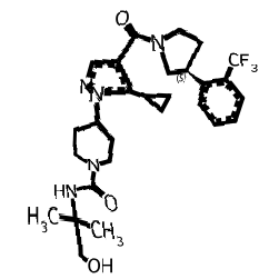 CC(C)(CO)NC(=O)N1CCC(n2ncc(C(=O)N3CC[C@@H](c4ccccc4C(F)(F)F)C3)c2C2CC2)CC1